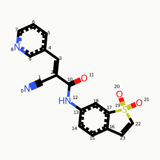 N#CC(=Cc1cccnc1)C(=O)Nc1ccc2c(c1)S(=O)(=O)C=C2